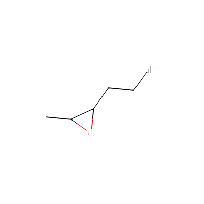 C[C]1OC1CCC(C)C